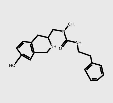 CN(CC1Cc2ccc(O)cc2CN1)C(=O)NCCc1ccccc1